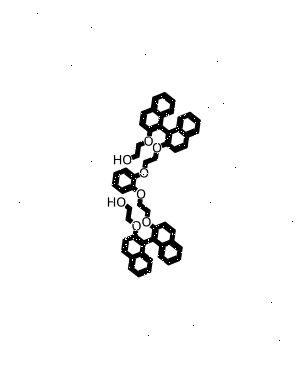 OCCOc1ccc2ccccc2c1-c1c(OCCOc2ccccc2OCCOc2ccc3ccccc3c2-c2c(OCCO)ccc3ccccc23)ccc2ccccc12